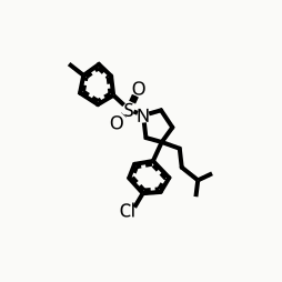 Cc1ccc(S(=O)(=O)N2CCC(CCC(C)C)(c3ccc(Cl)cc3)C2)cc1